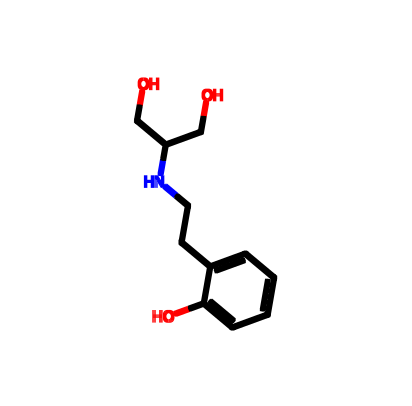 OCC(CO)NCCc1ccccc1O